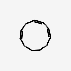 [CH]1/C=C\C=C/C/C=C\CCC1